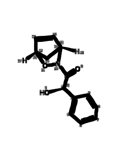 O=C([C@H](O)c1ccccc1)N1O[C@@H]2C=C[C@H]1C2